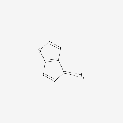 C=C1C=Cc2sccc21